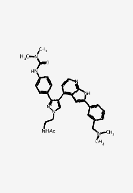 CC(=O)NCCn1cc(-c2ccnc3[nH]c(-c4cccc(CN(C)C)c4)cc23)c(-c2ccc(NC(=O)N(C)C)cc2)n1